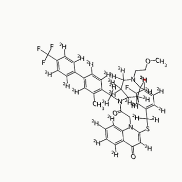 [2H]c1c([2H])c(F)c(F)c(C([2H])([2H])Sc2c([2H])c(=O)c3c([2H])c([2H])c([2H])c([2H])c3n2CC(=O)N(C([2H])([2H])c2c([2H])c([2H])c(-c3c([2H])c([2H])c(C(F)(F)F)c([2H])c3[2H])c([2H])c2C)C2([2H])C([2H])([2H])C([2H])([2H])N(CCOC)C([2H])([2H])C2([2H])[2H])c1[2H]